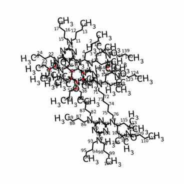 CCCCCC(N(c1nc(N(CCCC)CCCC)nc(N(CCCC)CCCC)n1)C1CC(C)(C)N(OCCC)C(C)(C)C1)N(c1nc(N(CCCC)C2CC(C)(C)N(OCCC)C(C)(C)C2)nc(N(CCCCCCN(c2nc(N(CCCC)CCCC)nc(N(CCCC)CCCC)n2)C2CC(C)(C)N(OCCC)C(C)(C)C2)C2CC(C)(C)N(OCCC)C(C)(C)C2)n1)C1CC(C)(C)N(OCCC)C(C)(C)C1